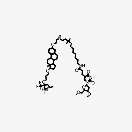 CCCC(OCCCOC1CCC2C3CCc4cc(OCCN(C)CCC(C)(C)SSCCCCCCNC(=O)CCc5cn(C6CC(OC)C(COC)O6)c(=O)[nH]c5=O)ccc4C3CCC12C)(C(F)(F)F)C(F)(F)F